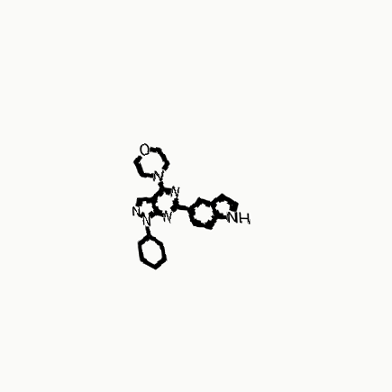 c1cc2cc(-c3nc(N4CCOCC4)c4cnn(C5CCCCC5)c4n3)ccc2[nH]1